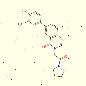 O=C(Cn1ccc2ccc(-c3ccc(Cl)c(C(F)(F)F)c3)cc2c1=O)N1CCCC1